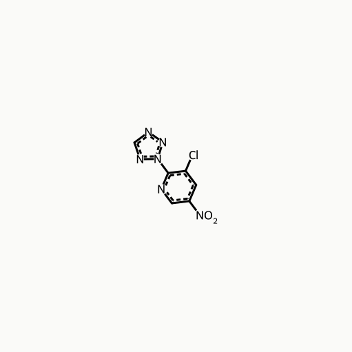 O=[N+]([O-])c1cnc(-n2ncnn2)c(Cl)c1